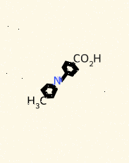 Cc1ccc(/N=C/c2ccc(C(=O)O)cc2)cc1